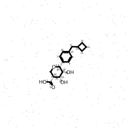 O=C(O)[C@@H]1CO[C@H](c2ccc(CC3CCC3)cc2)[C@H](O)[C@@H]1O